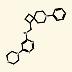 c1ccc(N2CCC3(CCC3CNc3cc(N4CCOCC4)ncn3)CC2)cc1